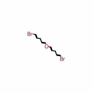 BrC=CCC=COC=CCC=CBr